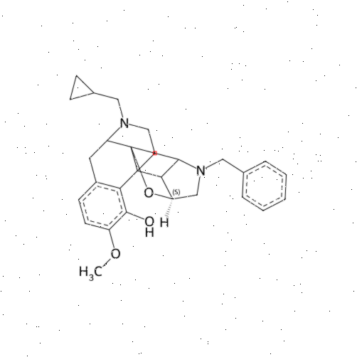 COc1ccc2c(c1O)C13CCN(CC4CC4)C(C2)C12CCC1C3[C@@H](CN1Cc1ccccc1)O2